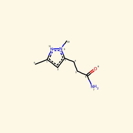 Cc1cc(CCC(N)=O)n(C)n1